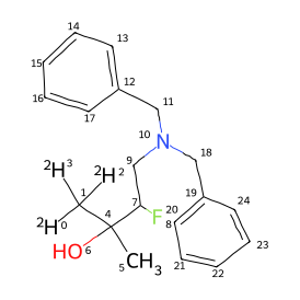 [2H]C([2H])([2H])C(C)(O)C(F)CN(Cc1ccccc1)Cc1ccccc1